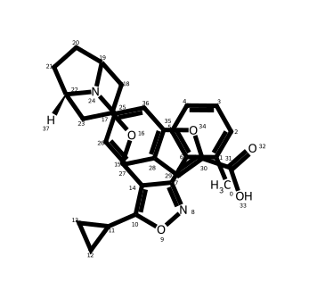 Cc1ccccc1-c1noc(C2CC2)c1COC1CC2CC[C@@H](C1)N2c1ccc2cc(C(=O)O)oc2c1